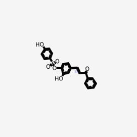 O=C(/C=C/c1ccc(OS(=O)(=O)c2ccc(O)cc2)c(O)c1)c1ccccc1